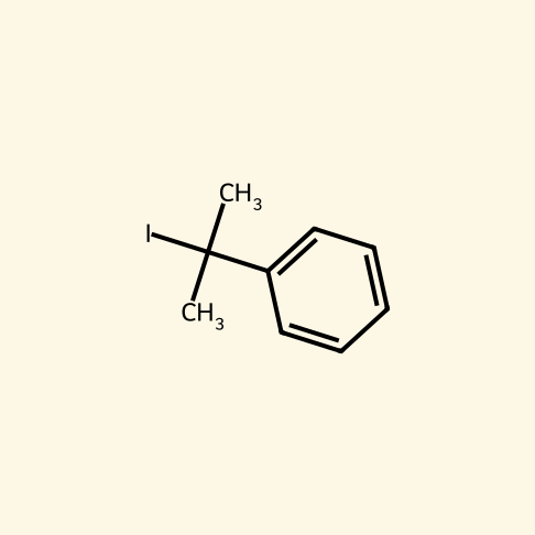 CC(C)(I)c1ccccc1